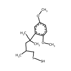 COc1ccc(OC)c(C(C)(C)CC(C)CSS)c1